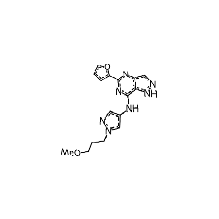 COCCCn1cc(Nc2nc(-c3ccco3)nc3cn[nH]c23)cn1